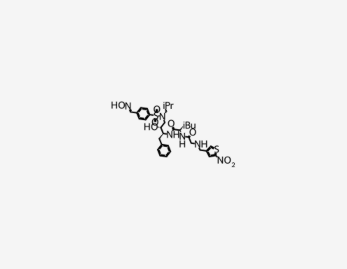 CC[C@H](C)[C@H](NC(=O)CNCc1csc([N+](=O)[O-])c1)C(=O)N[C@@H](Cc1ccccc1)[C@H](O)CN(CC(C)C)S(=O)(=O)c1ccc(/C=N/O)cc1